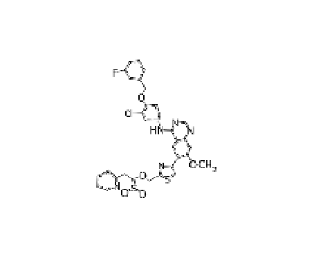 COc1cc2ncnc(Nc3ccc(OCc4cccc(F)c4)c(Cl)c3)c2cc1-c1csc(COC(Cc2ccccn2)=S(=O)=O)n1